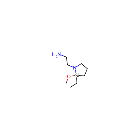 CC[Si]1(OC)CCCN1CCN